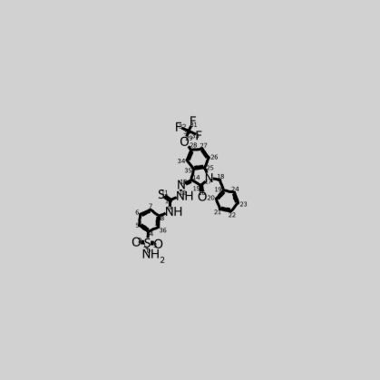 NS(=O)(=O)c1cccc(NC(=S)NN=C2C(=O)N(Cc3ccccc3)c3ccc(OC(F)(F)F)cc32)c1